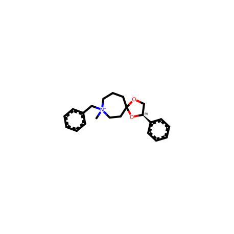 C[N+]1(Cc2ccccc2)CCCC2(CC1)OC[C@@H](c1ccccc1)O2